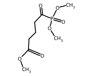 COC(=O)CCCC(=O)P(=O)(OC)OC